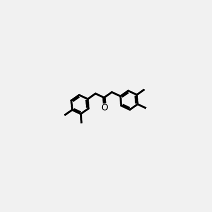 Cc1ccc(CC(=O)Cc2ccc(C)c(C)c2)cc1C